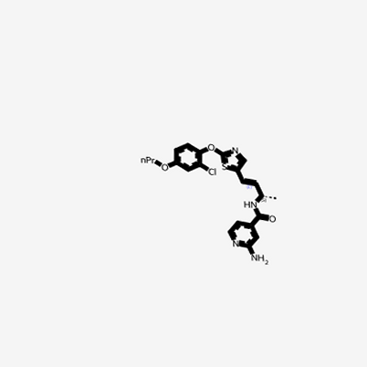 CCCOc1ccc(Oc2ncc(/C=C/[C@H](C)NC(=O)c3ccnc(N)c3)s2)c(Cl)c1